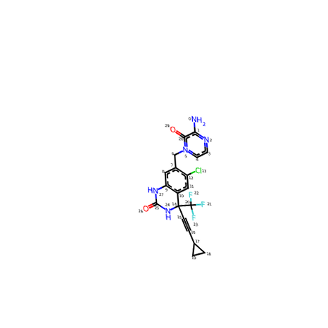 Nc1nccn(Cc2cc3c(cc2Cl)C(C#CC2CC2)(C(F)(F)F)NC(=O)N3)c1=O